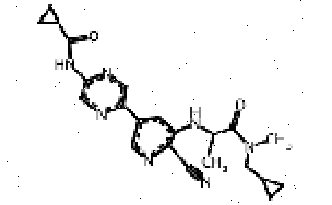 CC(Nc1cc(-c2cnc(NC(=O)C3CC3)cn2)cnc1C#N)C(=O)N(C)CC1CC1